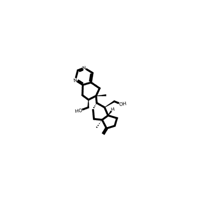 C=C1CC[C@H]2[C@H](CO)[C@@H]([C@@]3(C)Cc4cncnc4C[C@@H]3CO)CC[C@]12C